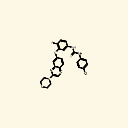 O=C(Nc1ccc(Cl)cc1)Nc1ccc(F)c(Oc2ccc3ncc(N4CCOCC4)nc3c2)c1